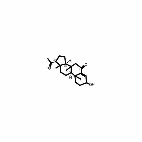 CC(=O)[C@H]1CC[C@@H]2C1(C)CC[C@@H]1C3(C)CCC(O)C=C3C(=O)CC21C